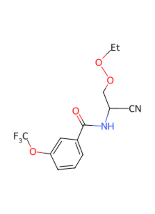 CCOOCC(C#N)NC(=O)c1cccc(OC(F)(F)F)c1